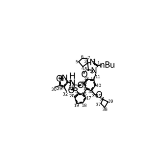 CCCCC1=NC2(CCCC2)C(=O)N1Cc1ccc(-c2ccccc2S(=O)(=O)Nc2noc(C)c2C)c(COC2CCC2)c1